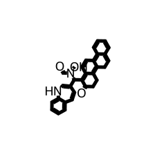 O=CN(O)C(C1=CNc2ccccc2C=C1)C1=c2ccc3c(c2CCC1=O)CC=c1ccccc1=3